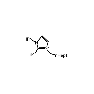 CCCCCCCC[n+]1ccn(C(C)C)c1C(C)C